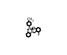 Cc1ccc(N2Sc3ccccc3N(Cc3c(F)cccc3Cl)C2=O)cc1